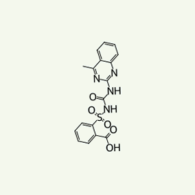 Cc1nc(NC(=O)NS(=O)(=O)c2ccccc2C(=O)O)nc2ccccc12